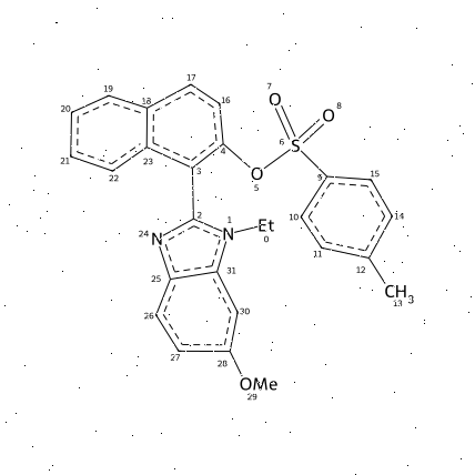 CCn1c(-c2c(OS(=O)(=O)c3ccc(C)cc3)ccc3ccccc23)nc2ccc(OC)cc21